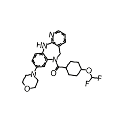 O=C(C1CCC(OC(F)F)CC1)N1Cc2cccnc2Nc2ccc(N3CCOCC3)cc21